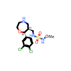 CONS(=O)(=O)NC[C@@H]1CNCCO[C@H]1c1ccc(Cl)c(Cl)c1